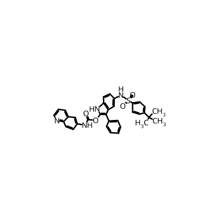 CC(C)(C)c1ccc(S(=O)(=O)Nc2ccc3[nH]c(OC(=O)Nc4ccc5ncccc5c4)c(-c4ccccc4)c3c2)cc1